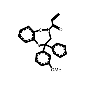 C=CC(=O)N1Cc2ccccc2SC(c2ccccc2)(c2cccc(OC)c2)C1